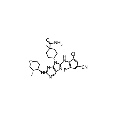 C[C@@H]1COCC[C@H]1Nc1ncc2nc(Nc3c(F)cc(C#N)cc3Cl)n([C@H]3CC[C@@](C)(C(N)=O)CC3)c2n1